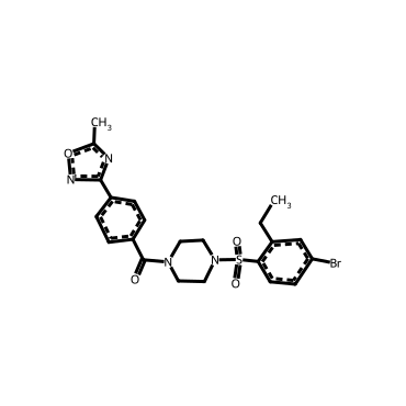 CCc1cc(Br)ccc1S(=O)(=O)N1CCN(C(=O)c2ccc(-c3noc(C)n3)cc2)CC1